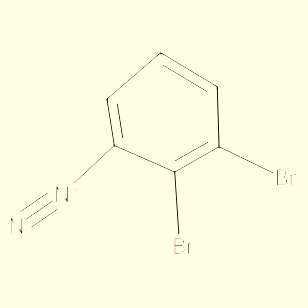 N#[N+]c1cccc(Br)c1Br